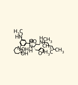 CCNc1cc(C(=O)N[C@@H](Cc2ccco2)[C@@H](O)CNC(C)(C)CCCC(C)C)cc(N2CCCCS2(O)O)c1